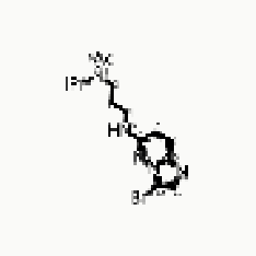 CC(=O)N(CCCNc1ccc2ncc(Br)n2n1)C(C)C